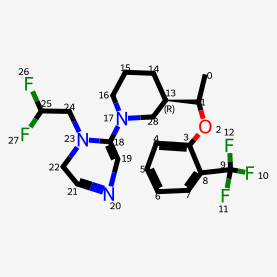 CC(Oc1ccccc1C(F)(F)F)[C@@H]1CCCN(C2=CN=CCN2CC(F)F)C1